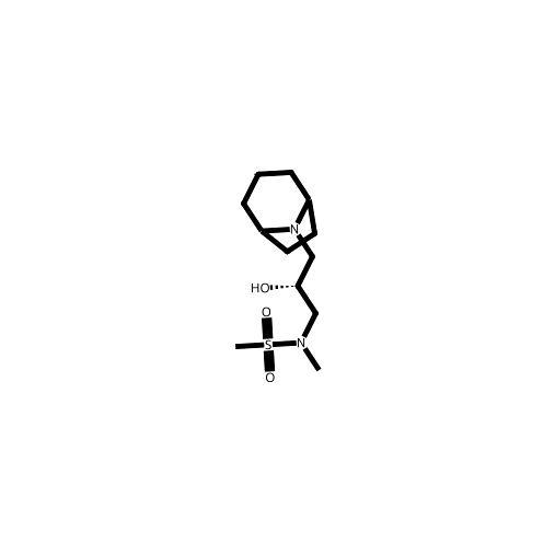 CN(C[C@H](O)CN1C2C[CH]CC1CC2)S(C)(=O)=O